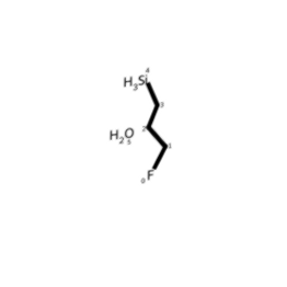 FCCC[SiH3].O